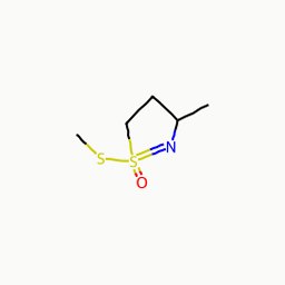 CSS1(=O)=NC(C)CC1